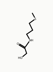 CSCCCNC(=O)CO